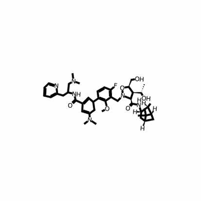 COc1c(C2C=C(C(=O)NC(Cc3ccccn3)CN(C)C)C=C(N(C)C)C2)ccc(F)c1CN1O[C@@H](CO)[C@@H]([C@H](C)O)[C@H]1C(=O)N[C@H]1C[C@H]2C[C@@H]([C@@H]1C)C2(C)C